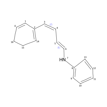 C1=CC(/C=C\C=C\Nc2ccccc2)=CCC1